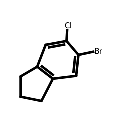 Clc1cc2c(cc1Br)CCC2